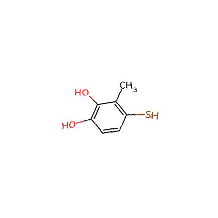 Cc1c(S)ccc(O)c1O